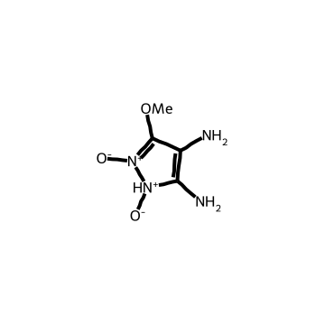 COC1=[N+]([O-])[NH+]([O-])C(N)=C1N